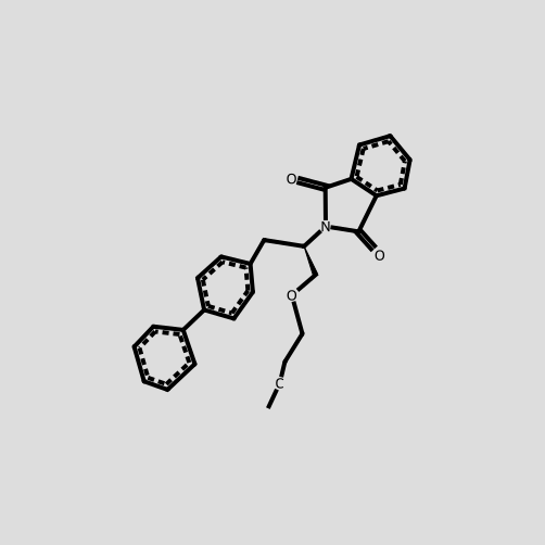 CCCCOC[C@@H](Cc1ccc(-c2ccccc2)cc1)N1C(=O)c2ccccc2C1=O